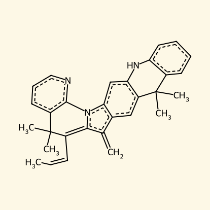 C=c1c2n(c3cc4c(cc13)C(C)(C)c1ccccc1N4)-c1ncccc1C(C)(C)C=2/C=C\C